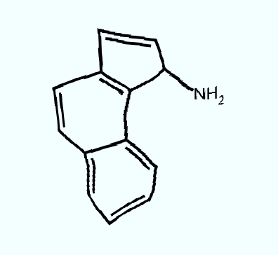 NC1C=Cc2ccc3ccccc3c21